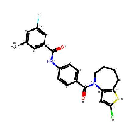 O=C(Nc1ccc(C(=O)N2CCCCc3sc(Cl)cc32)cc1)c1cc(F)cc(C(F)(F)F)c1